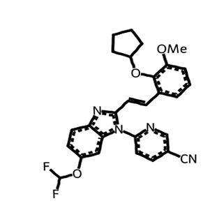 COc1cccc(C=Cc2nc3ccc(OC(F)F)cc3n2-c2ccc(C#N)cn2)c1OC1CCCC1